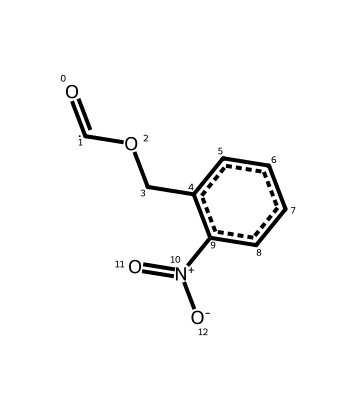 O=[C]OCc1ccccc1[N+](=O)[O-]